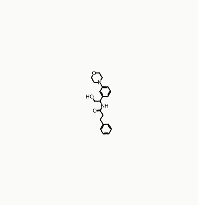 O=C(CCc1ccccc1)NC(CO)c1cccc(N2CCOCC2)c1